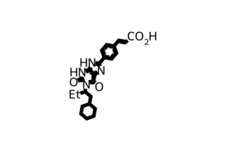 CCC(CC1CCCCC1)n1c(=O)[nH]c2[nH]c(-c3ccc(C=CC(=O)O)cc3)nc2c1=O